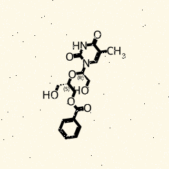 Cc1cn([C@@H](CO)O[C@@H](CO)COC(=O)c2ccccc2)c(=O)[nH]c1=O